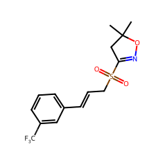 CC1(C)CC(S(=O)(=O)C/C=C/c2cccc(C(F)(F)F)c2)=NO1